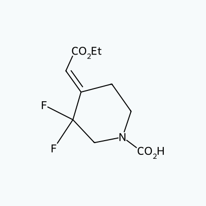 CCOC(=O)C=C1CCN(C(=O)O)CC1(F)F